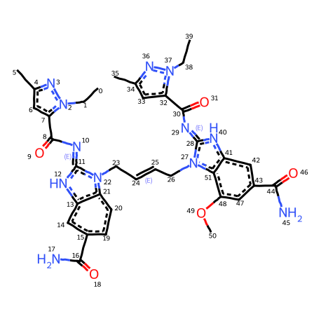 CCn1nc(C)cc1C(=O)/N=c1\[nH]c2cc(C(N)=O)ccc2n1C/C=C/Cn1/c(=N/C(=O)c2cc(C)nn2CC)[nH]c2cc(C(N)=O)cc(OC)c21